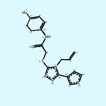 C=CCn1c(SCC(=O)NC2=CC=C(C(C)(C)C)CC2)nnc1-c1ccsc1